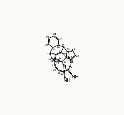 N=c1ccccc2c(ccccc1=N)C1C3C=C[C@@H](C3)C3C=CC=C3C2C2C=CC=CC21